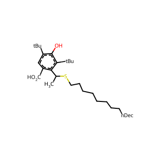 CCCCCCCCCCCCCCCCCCSC(C)c1c(C(=O)O)cc(C(C)(C)C)c(O)c1C(C)(C)C